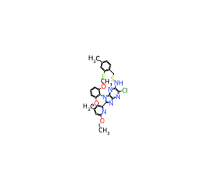 CCOc1cccc(-c2nc3nc(Cl)c(NSCc4ccc(C)cc4F)nc3n2-c2c(OC)cccc2OC)n1